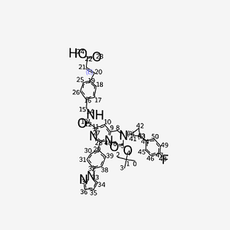 CC(C)(C)OC(=O)N(Cc1cc(C(=O)NCc2ccc(/C=C/C(=O)O)cc2)nc(-c2ccc(-n3cccn3)cc2)n1)[C@@H]1C[C@H]1c1ccc(F)cc1